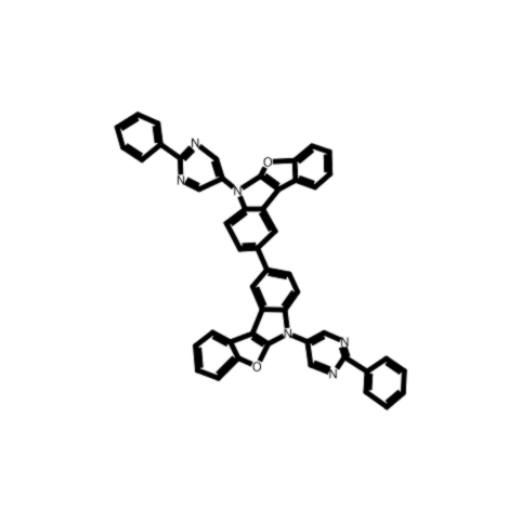 c1ccc(-c2ncc(-n3c4ccc(-c5ccc6c(c5)c5c7ccccc7oc5n6-c5cnc(-c6ccccc6)nc5)cc4c4c5ccccc5oc43)cn2)cc1